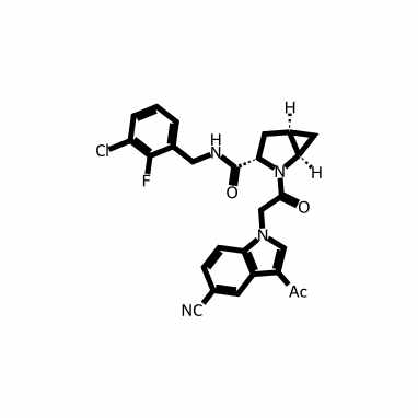 CC(=O)c1cn(CC(=O)N2[C@@H]3C[C@@H]3C[C@H]2C(=O)NCc2cccc(Cl)c2F)c2ccc(C#N)cc12